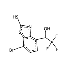 OC(c1ccc(Br)c2sc(S)nc12)C(F)(F)F